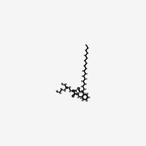 CCCCCCCCCCCCCCCCCCN(C=O)c1ccccc1COC(=O)NCCN(CC)CCCC